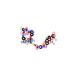 COc1ccc(CNC(=O)C(=O)C2CC(F)(F)CN2C(=O)CNC(=O)c2ccnc3ccc(OCC(=O)NC(CSSCCOC(=O)N4CCC(NC(=O)O[C@H]5CC[C@]6(C)C7CC[C@]8(C)[C@@H](c9ccoc(=O)c9)CC[C@]8(O)[C@@H]7CC[C@@H]6C5)CC4)C(=O)O)cc23)cc1OC